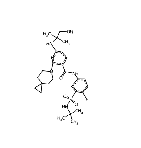 CC(C)(C)NS(=O)(=O)c1cc(NC(=O)c2ccc(NC(C)(C)CO)nc2N2CCC3(CC2)CC3)ccc1F